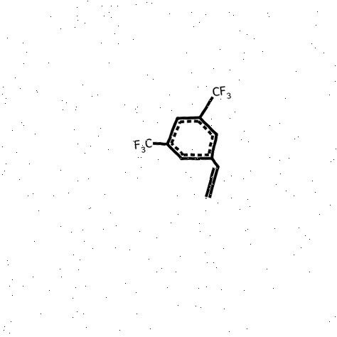 [CH]=Cc1cc(C(F)(F)F)cc(C(F)(F)F)c1